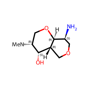 CN[C@@H]1CO[C@@H]2[C@H](COC[C@@H]2N)[C@@H]1O